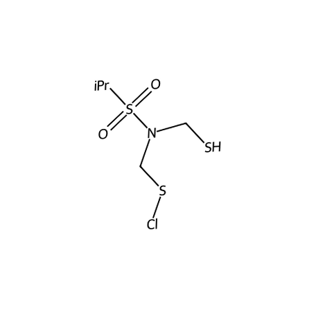 CC(C)S(=O)(=O)N(CS)CSCl